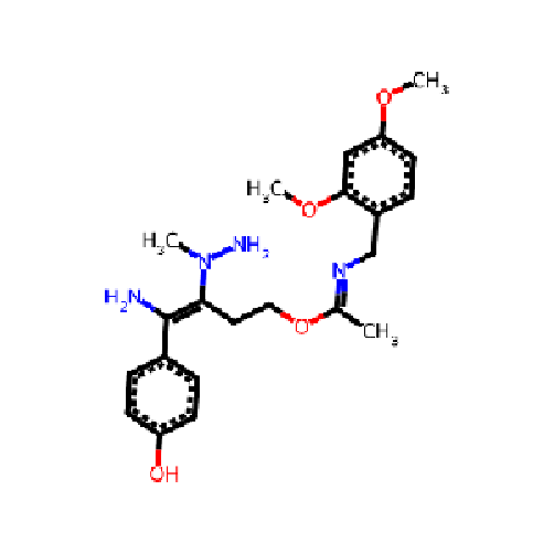 COc1ccc(C/N=C(\C)OCC/C(=C(/N)c2ccc(O)cc2)N(C)N)c(OC)c1